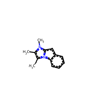 Cc1c(C)n2c3ccccc3cc2n1C